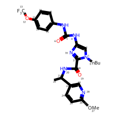 CCCCn1cc(NC(=O)Nc2ccc(OC(F)(F)F)cc2)nc1C(=O)NC(C)c1ccc(OC)nc1